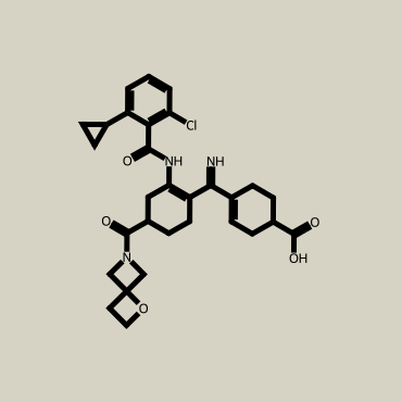 N=C(C1=CCC(C(=O)O)CC1)C1=C(NC(=O)c2c(Cl)cccc2C2CC2)CC(C(=O)N2CC3(CCO3)C2)CC1